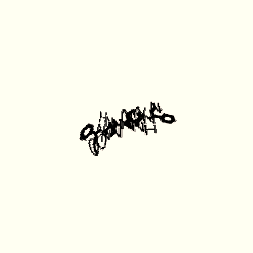 COC(=O)C(Nc1ncnc2c1ncn2-n1cnc2c(NC(CN(C)C)c3ccccc3)ncnc21)c1ccccc1